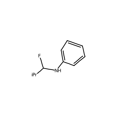 CC(C)C(F)Nc1ccccc1